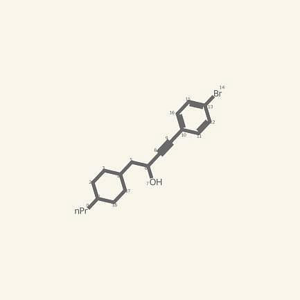 CCCC1CCC(CC(O)C#Cc2ccc(Br)cc2)CC1